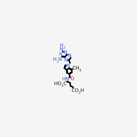 Cc1cc(C(=O)NC(CCCC(=O)O)C(=O)O)cc2ccn(Cc3cnc4nc(N)nc(N)c4n3)c12